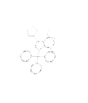 Clc1ncnc2c1c(C1CCCC1)cn2C(c1ccccc1)(c1ccccc1)c1ccccc1